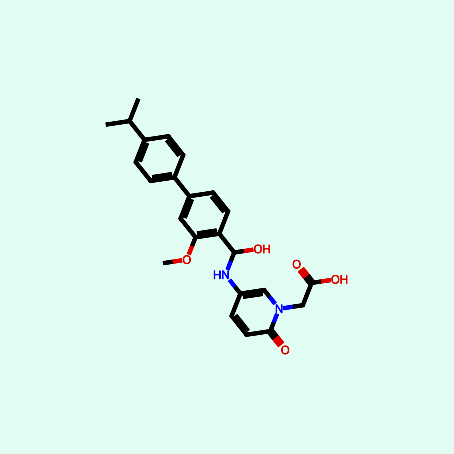 COc1cc(-c2ccc(C(C)C)cc2)ccc1C(O)Nc1ccc(=O)n(CC(=O)O)c1